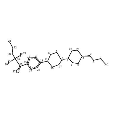 CCCC[C@H]1CC[C@H](C2CCC(c3ccc(C(=O)C(F)(F)CCC)cc3)CC2)CC1